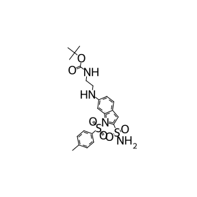 Cc1ccc(S(=O)(=O)n2c(S(N)(=O)=O)cc3ccc(NCCNC(=O)OC(C)(C)C)cc32)cc1